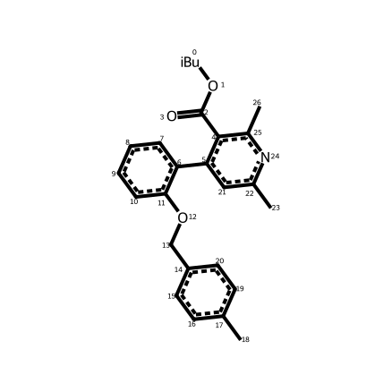 CCC(C)OC(=O)c1c(-c2ccccc2OCc2ccc(C)cc2)cc(C)nc1C